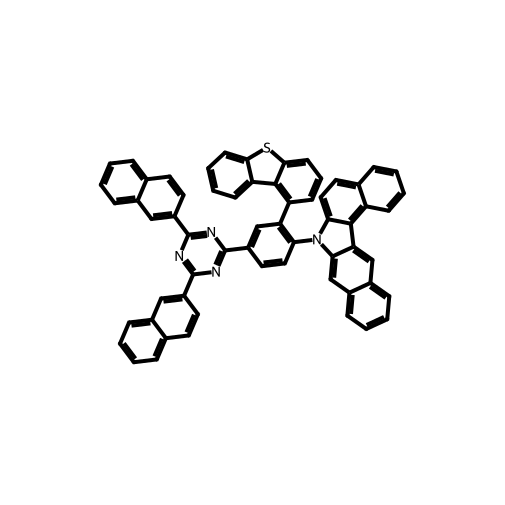 c1ccc2cc(-c3nc(-c4ccc(-n5c6cc7ccccc7cc6c6c7ccccc7ccc65)c(-c5cccc6sc7ccccc7c56)c4)nc(-c4ccc5ccccc5c4)n3)ccc2c1